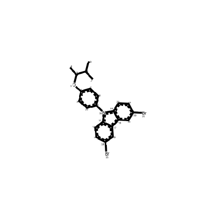 CC(C)C(C)Oc1ccc(-n2c3ccc(Br)cc3c3cc(Br)ccc32)cc1